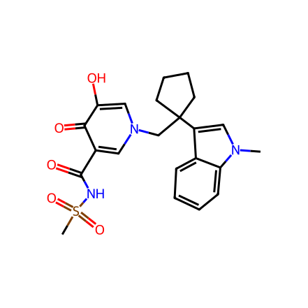 Cn1cc(C2(Cn3cc(O)c(=O)c(C(=O)NS(C)(=O)=O)c3)CCCC2)c2ccccc21